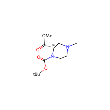 COC(=O)[C@@H]1CN(C)CCN1C(=O)OC(C)(C)C